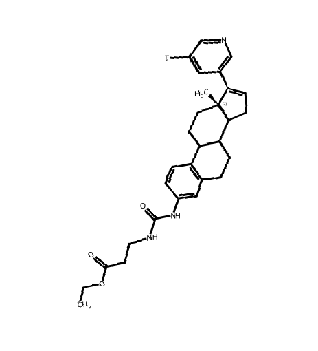 CCOC(=O)CCNC(=O)Nc1ccc2c(c1)CCC1C2CC[C@]2(C)C(c3cncc(F)c3)=CCC12